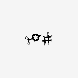 O=C(Cl)c1ccc(OC2C(F)(F)C(F)(F)C2(F)F)cc1